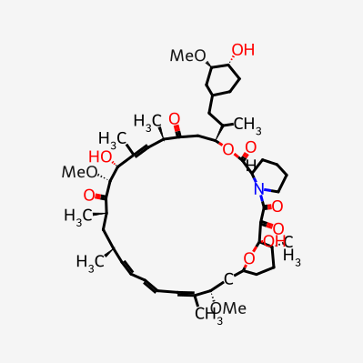 CO[C@H]1CC2CC[C@@H](C)[C@@](O)(O2)C(=O)C(=O)N2CCCC[C@H]2C(=O)O[C@H](C(C)CC2CC[C@@H](O)[C@H](OC)C2)CC(=O)[C@H](C)/C=C(\C)[C@@H](O)[C@@H](OC)C(=O)[C@H](C)C[C@H](C)/C=C/C=C/C=C/1C